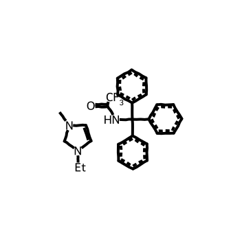 CCN1C=CN(C)C1.O=C(NC(c1ccccc1)(c1ccccc1)c1ccccc1)C(F)(F)F